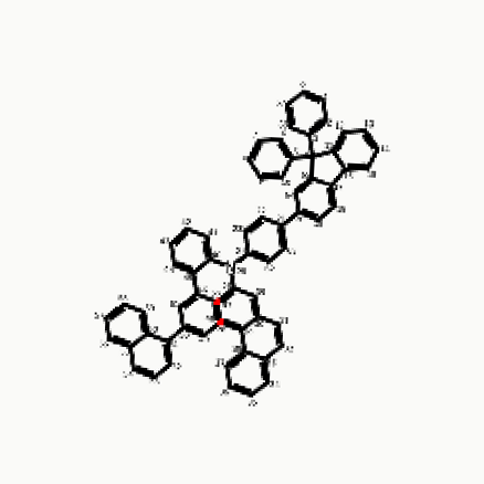 c1ccc(C2(c3ccccc3)c3ccccc3-c3ccc(-c4ccc(N(c5ccc6c(ccc7ccccc76)c5)c5ccccc5-c5cccc(-c6cccc7ccccc67)c5)cc4)cc32)cc1